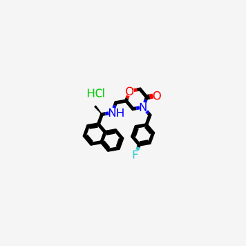 C[C@@H](NCC1CN(Cc2ccc(F)cc2)C(=O)CO1)c1cccc2ccccc12.Cl